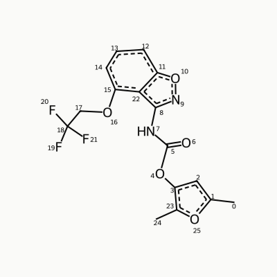 Cc1cc(OC(=O)Nc2noc3cccc(OCC(F)(F)F)c23)c(C)o1